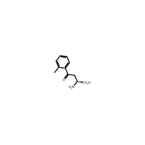 Cc1ccccc1C(=O)C[C@H](N)C(=O)O